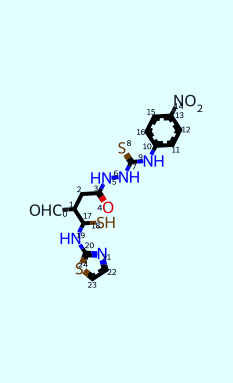 O=CC(CC(=O)NNC(=S)Nc1ccc([N+](=O)[O-])cc1)C(S)Nc1nccs1